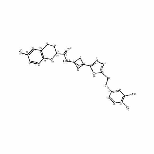 O=C(NC12CC(c3nnc(COc4ccc(Cl)c(F)c4)o3)(C1)C2)[C@H]1CCc2cc(Cl)ccc2O1